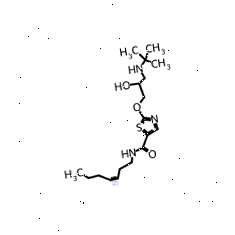 CCC/C=C\CCNC(=O)c1cnc(OCC(O)CNC(C)(C)C)s1